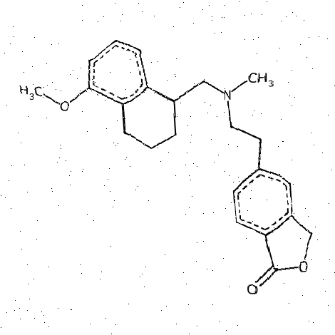 COc1cccc2c1CCCC2CN(C)CCc1ccc2c(c1)COC2=O